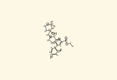 CCOC(=O)c1cc(-c2ccc(F)cc2F)c2c(n1)CN(CC1(O)CCOC(C)(C)C1)CC2